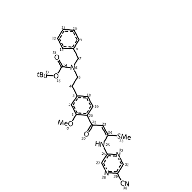 COc1cc(CCN(Cc2ccccc2)C(=O)OC(C)(C)C)ccc1C(=O)C=C(Nc1cnc(C#N)cn1)SC